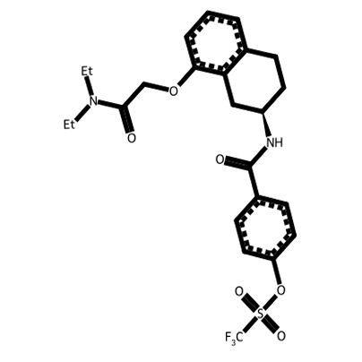 CCN(CC)C(=O)COc1cccc2c1C[C@H](NC(=O)c1ccc(OS(=O)(=O)C(F)(F)F)cc1)CC2